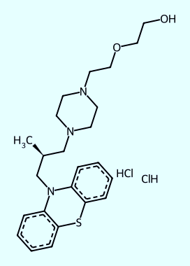 C[C@@H](CN1CCN(CCOCCO)CC1)CN1c2ccccc2Sc2ccccc21.Cl.Cl